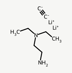 CCN(CC)CCN.[C-]#[C-].[Li+].[Li+]